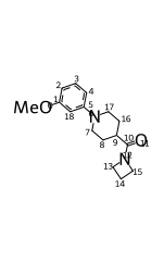 COc1cccc(N2CCC(C(=O)N3CCC3)CC2)c1